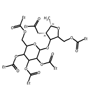 CCC(=O)C[C@H]1C(OC2OC(COC(=O)CC)C(OC(=O)CC)C(OC(=O)CC)C2OC(=O)CC)C(COC(=O)CC)O[C@H]1C